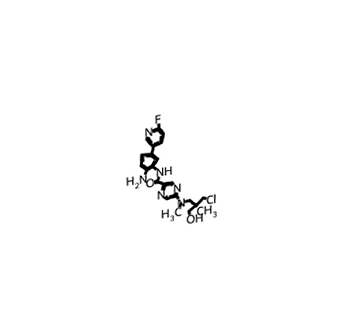 CN(CC(C)(CO)CCl)c1cnc(C(=O)Nc2cc(-c3ccc(F)nc3)ccc2N)cn1